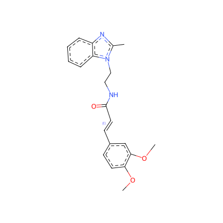 COc1ccc(/C=C/C(=O)NCCn2c(C)nc3ccccc32)cc1OC